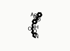 CC(=O)c1ccccc1S(=O)(=O)c1ccc(CNC(=O)c2cc3ccncc3o2)cc1